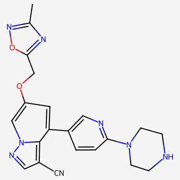 Cc1noc(COc2cc(-c3ccc(N4CCNCC4)nc3)c3c(C#N)cnn3c2)n1